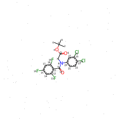 CC(C)(C)OC(=O)CN(C(=O)c1c(F)cc(F)cc1F)c1ccc(Cl)c(Cl)c1